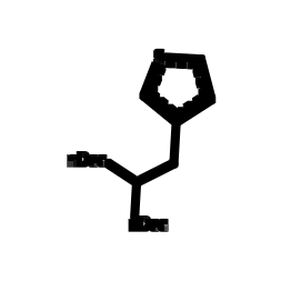 CCCCCCCCCCC(CCCCCCCCCC)Cc1ccsc1